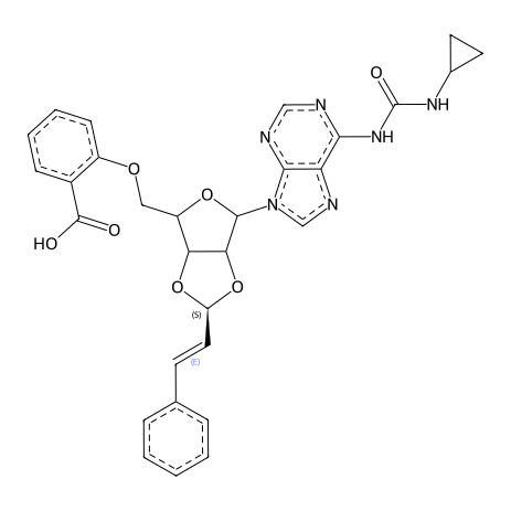 O=C(Nc1ncnc2c1ncn2C1OC(COc2ccccc2C(=O)O)C2O[C@H](/C=C/c3ccccc3)OC21)NC1CC1